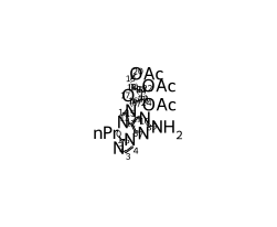 CCCc1nccn1-c1nc(N)nc2c1ncn2[C@@H]1O[C@H](COC(C)=O)[C@@H](OC(C)=O)[C@H]1OC(C)=O